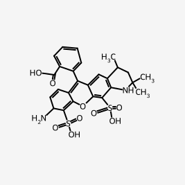 CC1CC(C)(C)Nc2c1cc1c(c2S(=O)(=O)O)OC2=C(S(=O)(=O)O)C(N)C=CC2=C1c1ccccc1C(=O)O